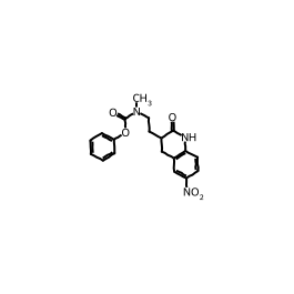 CN(CCC1Cc2cc([N+](=O)[O-])ccc2NC1=O)C(=O)Oc1ccccc1